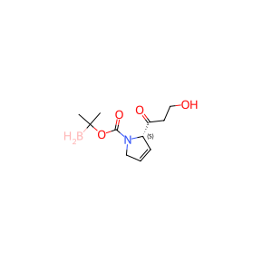 BC(C)(C)OC(=O)N1CC=C[C@H]1C(=O)CCO